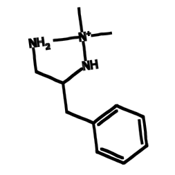 C[N+](C)(C)NC(CN)Cc1ccccc1